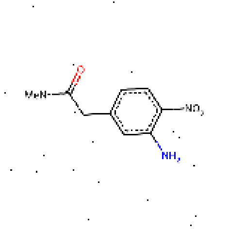 CNC(=O)Cc1ccc([N+](=O)[O-])c(N)c1